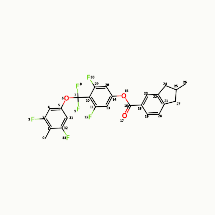 Cc1c(F)cc(OC(F)(F)c2c(F)cc(OC(=O)c3ccc4c(c3)CC(C)C4)cc2F)cc1F